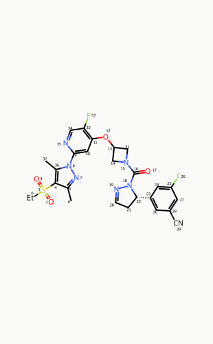 CCS(=O)(=O)c1c(C)nn(-c2cc(OC3CN(C(=O)N4N=CC[C@H]4c4cc(F)cc(C#N)c4)C3)c(F)cn2)c1C